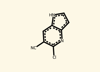 N#Cc1cc2[nH]ccc2nc1Cl